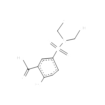 CCN(CC)S(=O)(=O)c1ccc(O)c(C(=O)O)c1